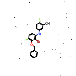 Cc1cc(Nc2ccc(F)c(OCc3ccccc3)c2Br)ccc1F